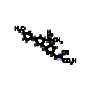 Cc1ccc(-c2cc3c(s2)-c2sc(/C=C(\C#N)C(=O)O)cc2C3(C)C)s1